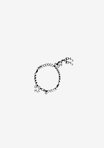 CC1COC(=O)CCCCC/C=C\CCCCCCCCC(OC(=O)CNCN(C)C)CCCCCCCC/C=C\CCCCCC(=O)O1